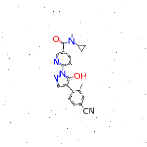 Cc1cc(C#N)ccc1-c1cnn(-c2ccc(C(=O)N(C)C3CC3)cn2)c1O